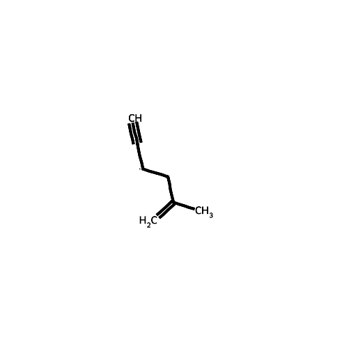 C#C[CH]CC(=C)C